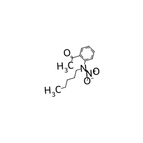 CCCCCN(c1ccccc1C(C)=O)[N+](=O)[O-]